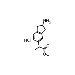 COC(=O)C(C)c1ccc2c(c1)CC(N)C2.Cl